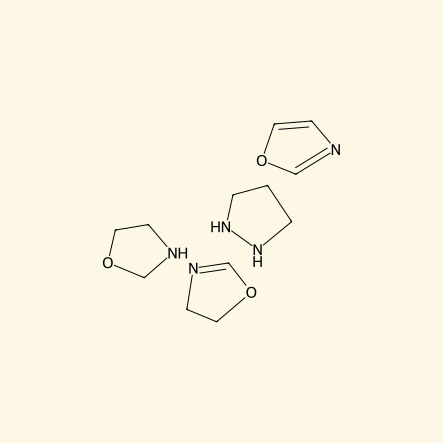 C1=NCCO1.C1CNNC1.C1COCN1.c1cocn1